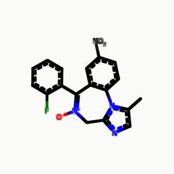 Cc1cnc2n1-c1ccc([N+](=O)[O-])cc1C(c1ccccc1F)=[N+]([O-])C2